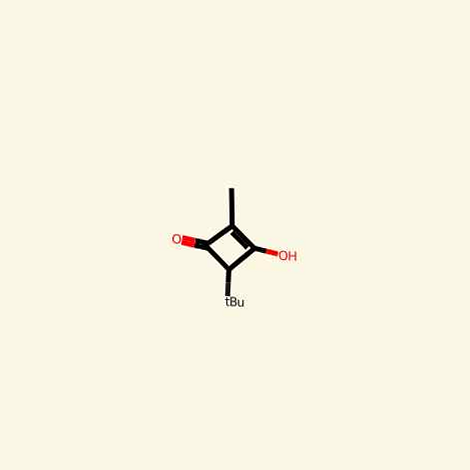 CC1=C(O)C(C(C)(C)C)C1=O